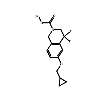 CC(C)(C)OC(=O)N1Cc2ccc(OCC3CC3)cc2C(F)(F)C1